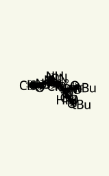 CC(C)(C)OC(=O)NCC(=O)OC[C@H](COc1ccc(-c2c(C#N)c(N)nc(SCc3coc(-c4ccc(Cl)cc4)n3)c2C#N)cc1)OC(=O)CNC(=O)OC(C)(C)C